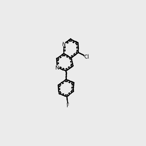 Fc1ccc(-c2cc3c(Cl)ccnc3cn2)cc1